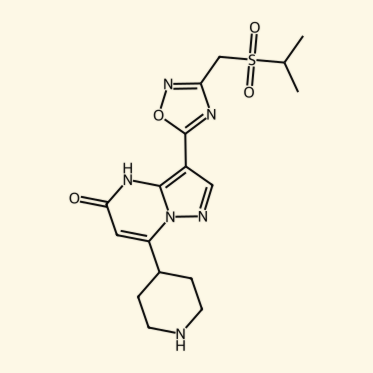 CC(C)S(=O)(=O)Cc1noc(-c2cnn3c(C4CCNCC4)cc(=O)[nH]c23)n1